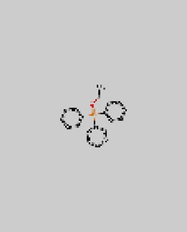 FC(F)(F)CO[PH](c1ccccc1)(c1ccccc1)c1ccccc1